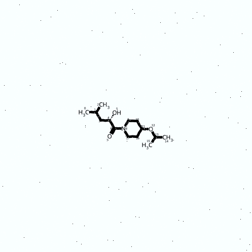 CC(C)C[C@H](O)C(=O)N1CCC(OC(C)C)CC1